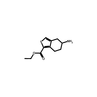 CCOC(=O)c1scc2c1CCC(N)C2